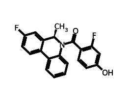 C[C@@H]1c2cc(F)ccc2-c2ccccc2N1C(=O)c1ccc(O)cc1F